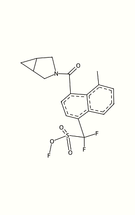 Cc1cccc2c(C(F)(F)S(=O)(=O)OF)ccc(C(=O)N3CC4CC4C3)c12